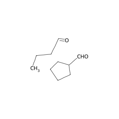 CCCC=O.O=CC1CCCC1